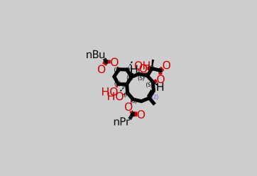 CCCCC(=O)O[C@H]1C[C@H](O)[C@@]2(C)[C@H]([C@H]1C)[C@H](O)[C@]13O[C@]1(C)C(=O)O[C@H]3/C=C(/C)C[C@H](OC(=O)CCC)[C@@H]2O